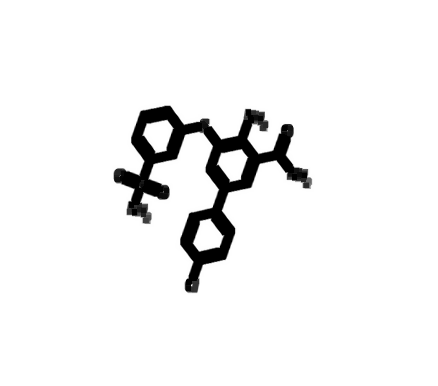 NC(=O)c1cc(-c2ccc(Cl)cc2)cc(Sc2cccc(S(N)(=O)=O)c2)c1N